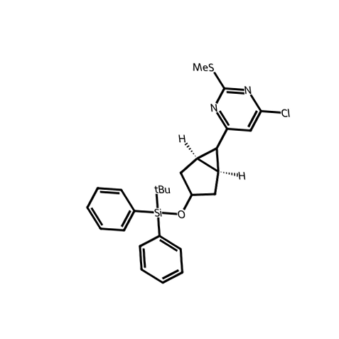 CSc1nc(Cl)cc(C2[C@H]3CC(O[Si](c4ccccc4)(c4ccccc4)C(C)(C)C)C[C@@H]23)n1